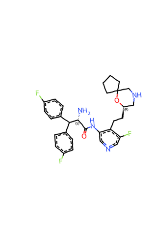 N[C@H](C(=O)Nc1cncc(F)c1CC[C@@H]1CNCC2(CCCC2)O1)C(c1ccc(F)cc1)c1ccc(F)cc1